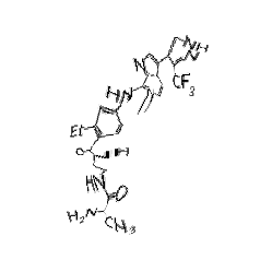 CCc1cc(NC2=NC=CC3C(c4c[nH]nc4C(F)(F)F)=CN=C23)ccc1C(=O)NCCNC(=O)[C@H](C)N